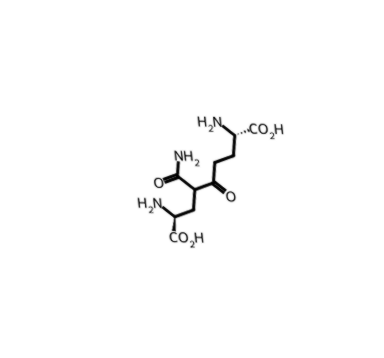 NC(=O)C(C[C@H](N)C(=O)O)C(=O)CC[C@H](N)C(=O)O